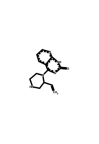 C=CC1CNCCN1c1nc(=O)[nH]c2ncccc12